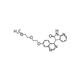 COCCOCCOc1ccc2c(C3C(=O)Nc4ncccc43)ncnc2c1